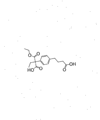 CCOC(=O)C(CC)(C(=O)O)c1ccc(CCCC(=O)O)cc1